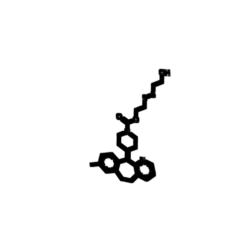 Cc1ccc2c(c1)CCc1cccnc1C2=C1CCN(C(=O)OCCSSCCO)CC1